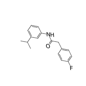 CC(C)c1cccc(NC(=O)Cc2ccc(F)cc2)c1